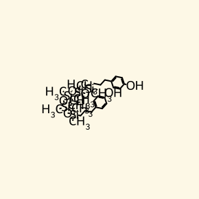 C[Si](C)(CCCc1ccc(O)cc1)O[Si](C)(C)O[Si](C)(C)O[Si](C)(C)O[Si](C)(C)CCCc1ccc(O)cc1